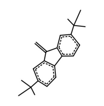 C=C1c2cc(C(C)(C)C)ccc2-c2ccc(C(C)(C)C)cc21